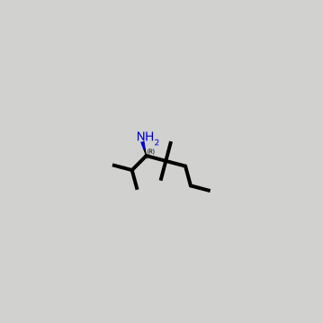 CCCC(C)(C)[C@H](N)C(C)C